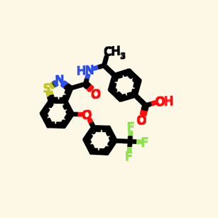 CC(NC(=O)c1nsc2cccc(Oc3cccc(C(F)(F)F)c3)c12)c1ccc(C(=O)O)cc1